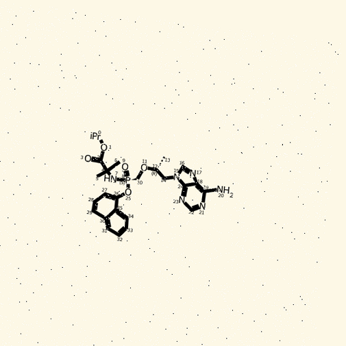 CC(C)OC(=O)C(C)(C)N[P@](=O)(CO[C@H](C)Cn1cnc2c(N)ncnc21)Oc1cccc2ccccc12